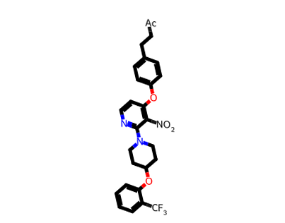 CC(=O)CCc1ccc(Oc2ccnc(N3CCC(Oc4ccccc4C(F)(F)F)CC3)c2[N+](=O)[O-])cc1